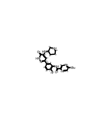 CC(C)(C)c1cnc(C(=O)Nc2cc(-c3cc(NC4CCCNC4)c(=O)[nH]n3)ccc2F)cn1